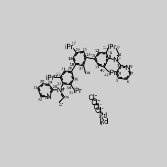 CC=[N+](c1ccccn1)c1c(C(C)C)cc(-c2cc(C(C)C)cc(-c3cc(C(C)C)c([N+](=CC)c4ccccn4)c(C(C)C)c3)c2C)cc1C(C)C.[Cl-].[Cl-].[Cl-].[Cl-].[Pd].[Pd]